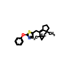 CC1(C)CCCC1=C(Cc1cnc(Oc2ccccc2)s1)C1(C(=O)O)CC1